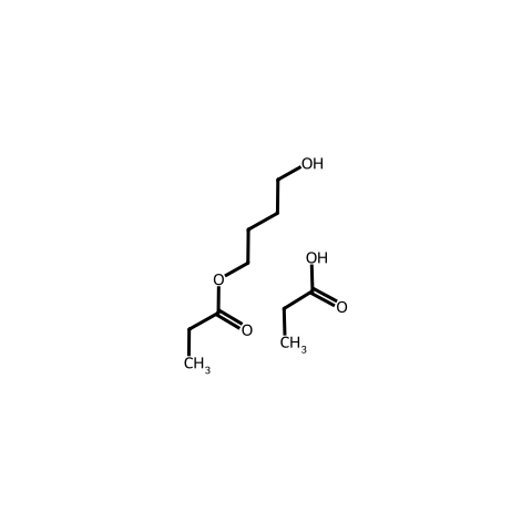 CCC(=O)O.CCC(=O)OCCCCO